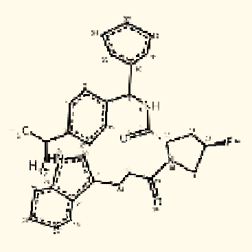 CC(C)c1ccc(C(NC(=O)[C@@H]2C[C@@H](F)CN2C(=O)CCc2c[nH]c3ccccc23)c2ccccc2)cc1